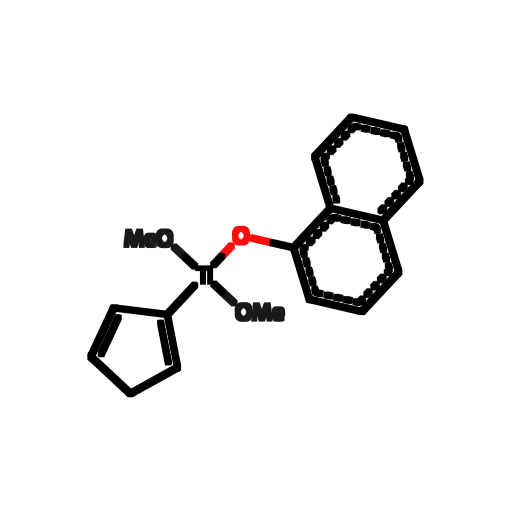 C[O][Ti]([O]C)([O]c1cccc2ccccc12)[C]1=CCC=C1